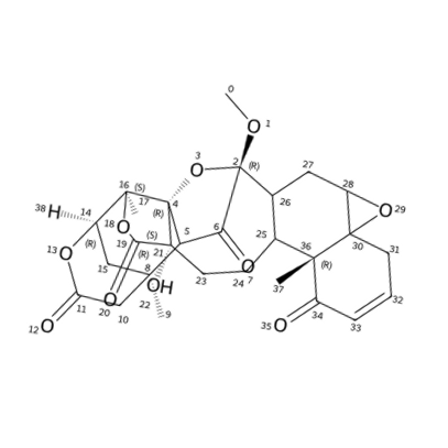 CO[C@]12O[C@@]34C(C1=O)[C@@]1(C)CC(=O)O[C@H](C1)[C@]3(C)OC(=O)[C@]4(O)CCC1C2CC2OC23CC=CC(=O)[C@]13C